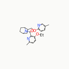 CCOc1ccc(C)nc1C(=O)N1C2CCC1C(COc1ccc(C)cn1)C2